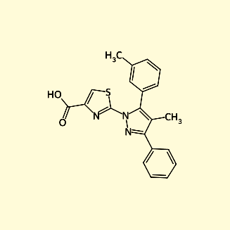 Cc1cccc(-c2c(C)c(-c3ccccc3)nn2-c2nc(C(=O)O)cs2)c1